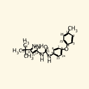 Cc1ccc(Oc2ccc(NC(=O)Nc3cc(C(C)(C)C)n[nH]3)cc2)cc1